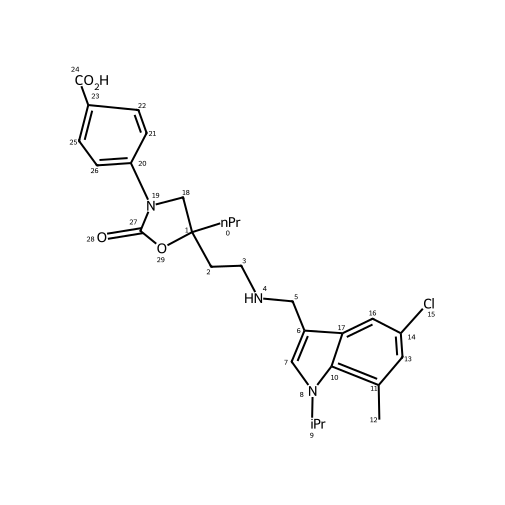 CCCC1(CCNCc2cn(C(C)C)c3c(C)cc(Cl)cc23)CN(c2ccc(C(=O)O)cc2)C(=O)O1